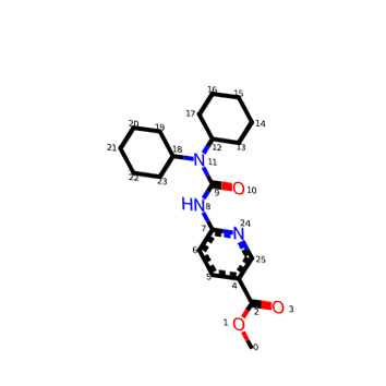 COC(=O)c1ccc(NC(=O)N(C2CCCCC2)C2CCCCC2)nc1